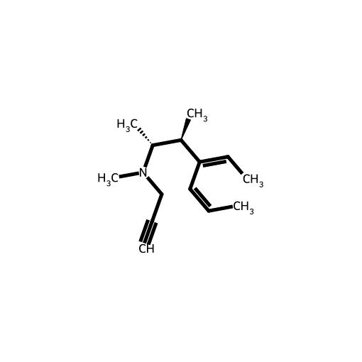 C#CCN(C)[C@H](C)[C@@H](C)C(/C=C\C)=C/C